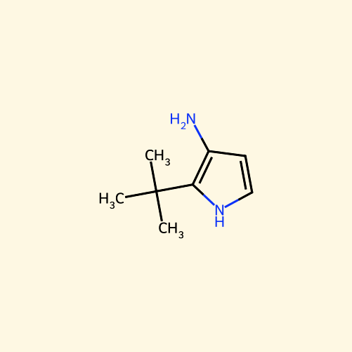 CC(C)(C)c1[nH]ccc1N